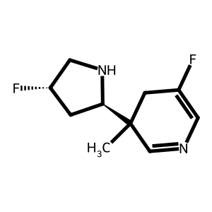 CC1([C@H]2C[C@H](F)CN2)C=NC=C(F)C1